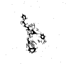 COc1ccc(C[C@@H]2C[C@@H](C(=O)NCc3nc4cnccc4[nH]3)N(C(=O)[C@H](N)CCC(=O)N3CCCC3)C2)cc1